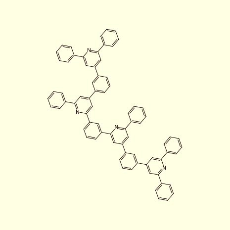 c1ccc(-c2cc(-c3cccc(-c4cc(-c5ccccc5)nc(-c5cccc(-c6cc(-c7cccc(-c8cc(-c9ccccc9)nc(-c9ccccc9)c8)c7)cc(-c7ccccc7)n6)c5)c4)c3)cc(-c3ccccc3)n2)cc1